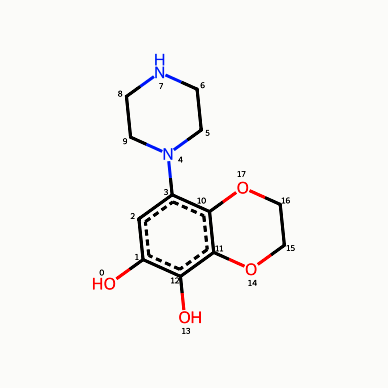 Oc1cc(N2CCNCC2)c2c(c1O)OCCO2